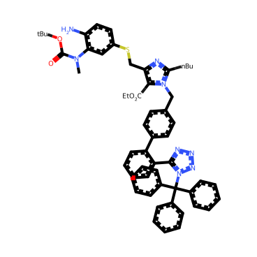 CCCCc1nc(CSc2ccc(N)c(N(C)C(=O)OC(C)(C)C)c2)c(C(=O)OCC)n1Cc1ccc(-c2ccccc2-c2nnnn2C(c2ccccc2)(c2ccccc2)c2ccccc2)cc1